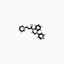 O=C(CCN1CCCCC1)N1CCN(c2ccncc2)c2ccccc21